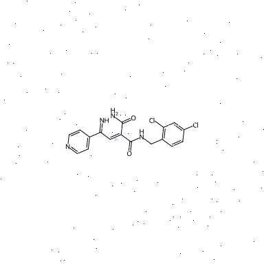 N=C(/C=C(\C(N)=O)C(=O)NCc1ccc(Cl)cc1Cl)c1ccncc1